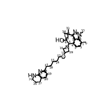 Cc1ccc(C(C(=O)O)N2CC(OCCCCCc3ccc4c(n3)NCCC4)C2)c2c(C(C)(C)C)nn(C)c12